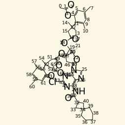 CC(=O)Oc1cc(C)cc(C)c1C(C)(C)CC(=O)OC1[C@@]2(C)O[C@@H](n3cnc4c(NC(=O)C5CC6(CCCCC6)C5)nc(Cl)nc43)C[C@@]12OC(=O)CC(C)(C)c1c(C)cc(C)cc1OC(C)=O